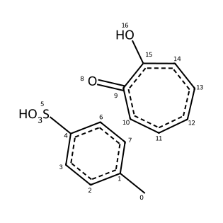 Cc1ccc(S(=O)(=O)O)cc1.O=c1cccccc1O